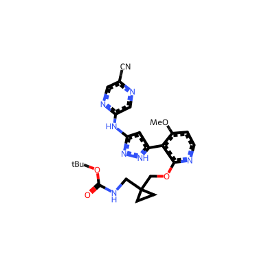 COc1ccnc(OCC2(CNC(=O)OC(C)(C)C)CC2)c1-c1cc(Nc2cnc(C#N)cn2)n[nH]1